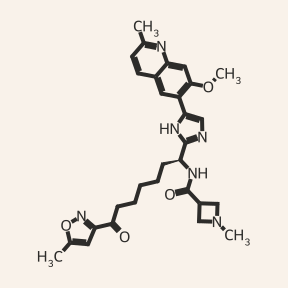 COc1cc2nc(C)ccc2cc1-c1cnc([C@H](CCCCCC(=O)c2cc(C)on2)NC(=O)C2CN(C)C2)[nH]1